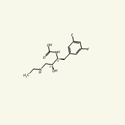 CCNC[C@H](O)[C@H](Cc1cc(F)cc(F)c1)NC(=O)O